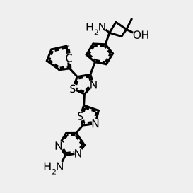 CC1(O)CC(N)(c2ccc(-c3nc(-c4cnc(-c5cnc(N)nc5)s4)sc3-c3ccccc3)cc2)C1